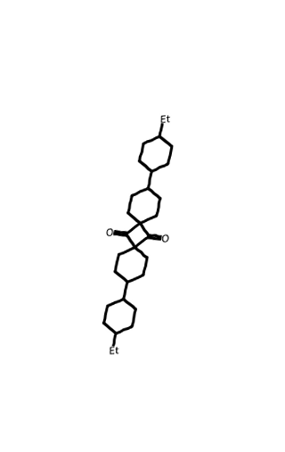 CCC1CCC(C2CCC3(CC2)C(=O)C2(CCC(C4CCC(CC)CC4)CC2)C3=O)CC1